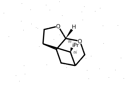 CC(C)[C@H]1C2CO[C@H]3OCC1C3C2